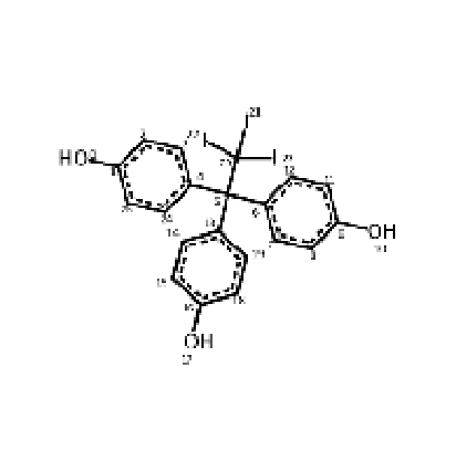 Oc1ccc(C(c2ccc(O)cc2)(c2ccc(O)cc2)C(I)(I)I)cc1